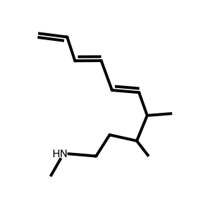 C=CC=CC=CC(C)C(C)CCNC